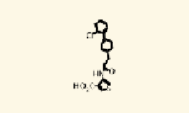 O=C(CCc1ccc(-c2ccccc2Cl)cc1)Nc1cscc1C(=O)O